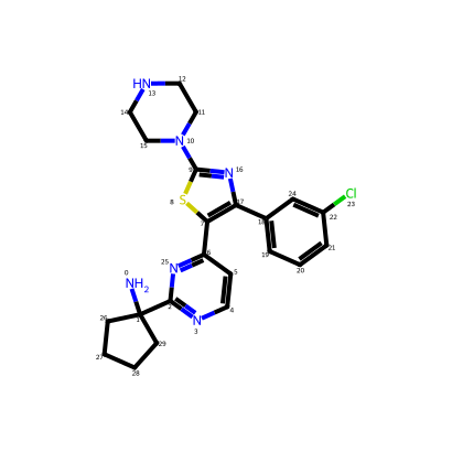 NC1(c2nccc(-c3sc(N4CCNCC4)nc3-c3cccc(Cl)c3)n2)CCCC1